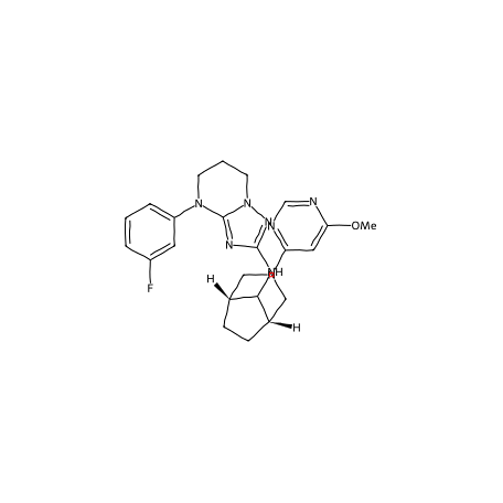 COc1cc(N2C[C@H]3CC[C@@H](C2)C3Nc2nc3n(n2)CCCN3c2cccc(F)c2)ncn1